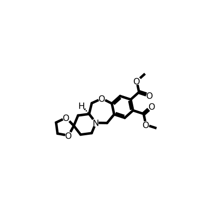 COC(=O)c1cc2c(cc1C(=O)OC)OC[C@@H]1CC3(CCN1C2)OCCO3